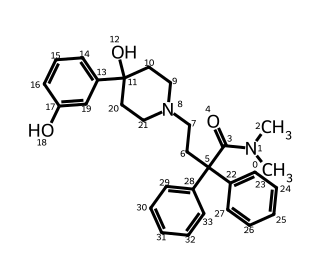 CN(C)C(=O)C(CCN1CCC(O)(c2cccc(O)c2)CC1)(c1ccccc1)c1ccccc1